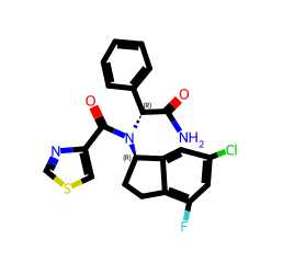 NC(=O)[C@@H](c1ccccc1)N(C(=O)c1cscn1)[C@@H]1CCc2c(F)cc(Cl)cc21